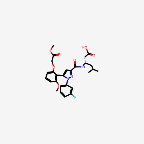 COC(=O)COc1cccc(OC)c1-c1cc(C(=O)N[C@H](CC(=O)O)CC(C)C)nn1-c1cccc(F)c1